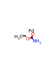 CCOC(N)=O.[Pd]